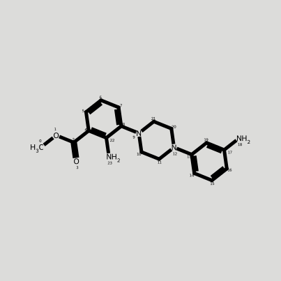 COC(=O)c1cccc(N2CCN(c3cccc(N)c3)CC2)c1N